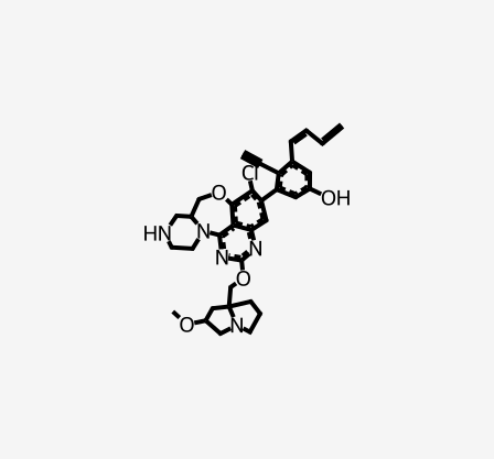 C#Cc1c(/C=C\C=C)cc(O)cc1-c1cc2nc(OCC34CCCN3CC(OC)C4)nc3c2c(c1Cl)OCC1CNCCN31